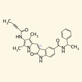 CC#CC(=O)Nc1c(C)[nH]c(/C=C2\C(=O)Nc3ccc(C(=O)NC(C)c4ccccc4)cc32)c1C